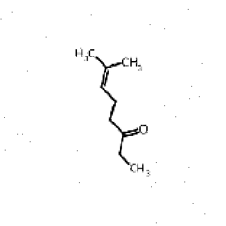 CCC(=O)CCC=C(C)C